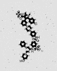 Cc1c(C(=O)NS(C)(=O)=O)c(-c2cccc(N3CCN(c4ccc(NS(=O)(=O)c5ccc(N[C@H](CCN6CCC(O)CC6)CSc6ccccc6)c(S(=O)(=O)C(F)(F)F)c5)cc4)CC3)c2)c(-c2ccc(Cl)cc2)n1C